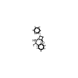 C[C@@H](NN1C(=O)C[C@H]1c1ccccn1)c1ccccc1